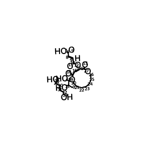 CC(O)CO.O=C(O)C=CC(=O)O.O=C1C=CC(=O)OCCCCCCCO1.OCCCCO